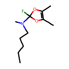 CCCCCN(C)C1(F)OC(C)=C(C)O1